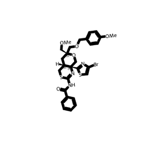 COC[C@]1(COCc2ccc(OC)cc2)C[C@H]2CSC(NC(=O)c3ccccc3)=N[C@@]2(c2nc(Br)cs2)CO1